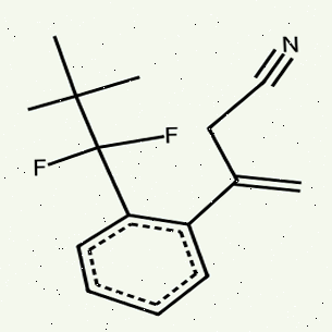 C=C(CC#N)c1ccccc1C(F)(F)C(C)(C)C